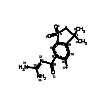 CC1(C)CS(=O)(=O)c2cc(C(=O)N=C(N)N)c(F)cc21